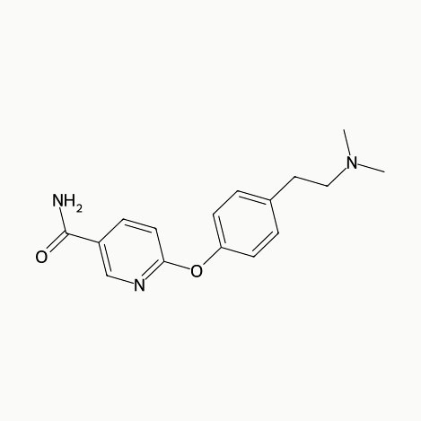 CN(C)CCc1ccc(Oc2ccc(C(N)=O)cn2)cc1